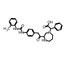 Cc1ccccc1NC(=O)Nc1ccc(CC(=O)C2CN(C(C(=O)O)c3ccccc3)CCCN2)cc1